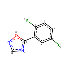 Fc1ccc(Cl)cc1-c1n[c]no1